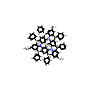 CC(C)(C)c1cc2c3c(c1)B(c1ccccc1)c1cc4c5c6c1N3c1c(cc3c7c1B6c1c6c(cc8c1N5c1c(cc(C(C)(C)C)cc1B8c1ccccc1)B4c1ccccc1)B(c1ccccc1)c1cc(C(C)(C)C)cc(c1N76)B3c1ccccc1)B2c1ccccc1